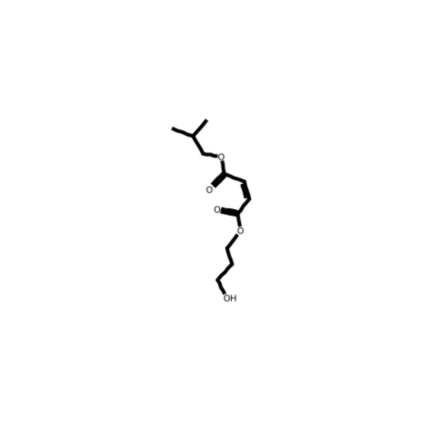 CC(C)COC(=O)/C=C\C(=O)OCCCO